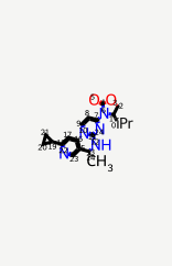 CC(C)C1COC(=O)N1c1ccnc(N[C@@H](C)c2ccc(C3CC3)nc2)n1